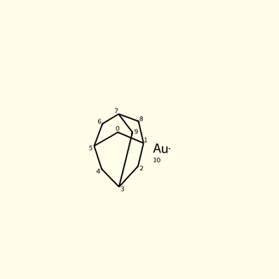 C1C2CC3CC1CC(C2)C3.[Au]